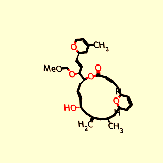 C=C1C[C@H](C)C[C@@H]2CC=C[C@@H](C/C=C\C(=O)O[C@H]([C@H](/C=C/[C@@H]3CC(C)=CCO3)OCOC)C/C=C/[C@@H](O)C1)O2